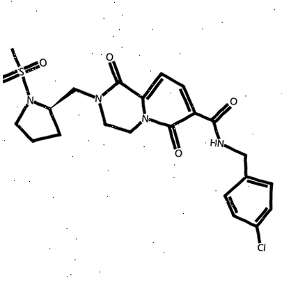 CS(=O)(=O)N1CCC[C@@H]1CN1CCn2c(ccc(C(=O)NCc3ccc(Cl)cc3)c2=O)C1=O